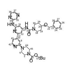 CC(C)(C)OC(=O)N1CCN(c2cc(-c3cc(NC(=O)N4CCC(OCc5ccccc5)CC4)cc(Nc4cnccn4)n3)ccn2)CC1